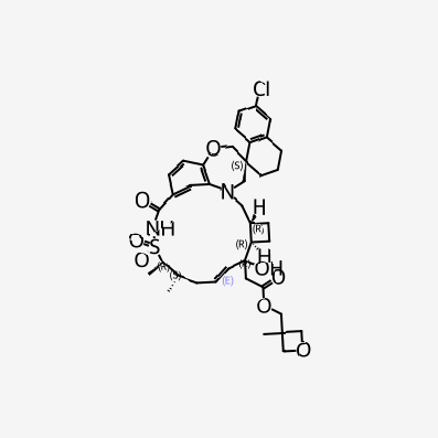 C[C@@H]1[C@@H](C)C/C=C/[C@@](O)(CC(=O)OCC2(C)COC2)[C@@H]2CC[C@H]2CN2C[C@@]3(CCCc4cc(Cl)ccc43)COc3ccc(cc32)C(=O)NS1(=O)=O